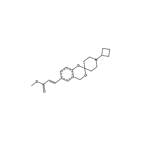 COC(=O)/C=C/c1ccc2c(c1)COC1(CCN(C3CCC3)CC1)O2